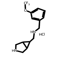 Cl.FC(F)(F)Oc1cccc(CNCC2C3CNCC23)c1